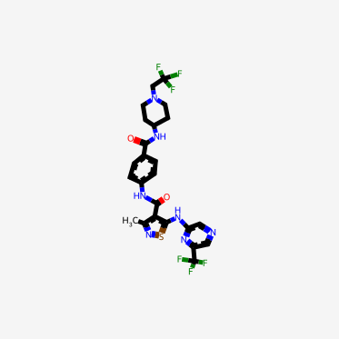 Cc1nsc(Nc2cncc(C(F)(F)F)n2)c1C(=O)Nc1ccc(C(=O)NC2CCN(CC(F)(F)F)CC2)cc1